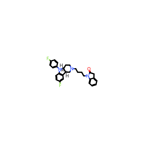 O=C1Cc2ccccc2N1CCCCN1CC[C@@H]2[C@@H](C1)c1cc(F)ccc1N2c1ccc(F)cc1